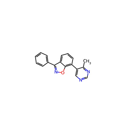 Cc1ncncc1-c1cccc2c(-c3ccccc3)noc12